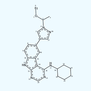 CCOC(C)n1cc(-c2ccc3[nH]c4ncnc(NC5CCCCC5)c4c3c2)cn1